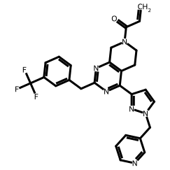 C=CC(=O)N1CCc2c(nc(Cc3cccc(C(F)(F)F)c3)nc2-c2ccn(Cc3cccnc3)n2)C1